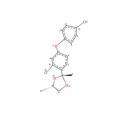 [CH2][C@@]1(c2ccc(Oc3ccc(Cl)cc3)cc2Cl)OC[C@H](C)O1